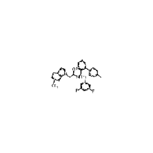 Cc1ccc(-c2cccnc2[C@H](Cc2cc(F)cc(F)c2)NC(=O)Cn2ccc3ccc(C(F)(F)F)cc32)cc1